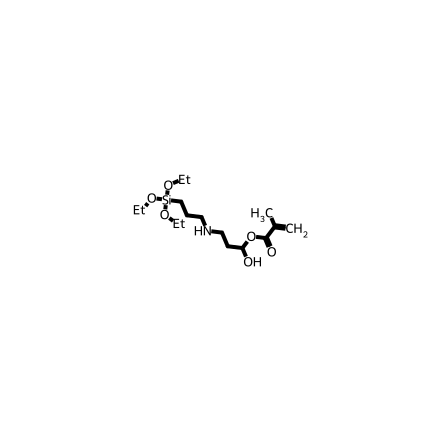 C=C(C)C(=O)OC(O)CCNCCC[Si](OCC)(OCC)OCC